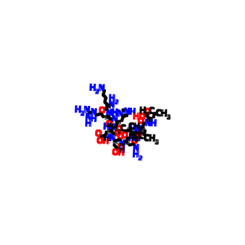 CC[C@H](C)[C@H](NC(=O)[C@H](CC(N)=O)NC(=O)[C@H](CC(=O)O)NC(=O)[C@H](CCC(=O)O)NC(=O)[C@H](Cc1c[nH]cn1)NC(=O)[C@H](CCCNC(=N)N)NC(=O)[C@@H](N)CCCCN)C(=O)N[C@@H](CC(C)C)C(=O)N[C@@H](CC(C)C)C(=O)O